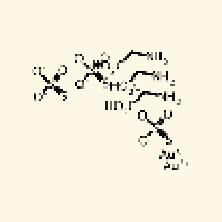 NCC(=O)O.NCC(=O)O.NCC(=O)O.O=S([O-])([O-])=S.O=S([O-])([O-])=S.O=S([O-])([O-])=S.[Au+3].[Au+3]